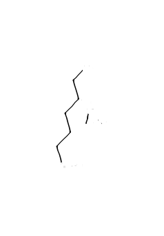 CCCCCCCCCCCC[O-].O=S(=O)(O)O.[Na+]